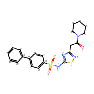 O=C(Cc1nsc(NS(=O)(=O)c2ccc(-c3ccccc3)cc2)n1)N1CCCCC1